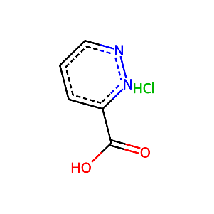 Cl.O=C(O)c1cccnn1